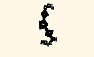 O=C(O)NC12CC(n3cnc(C4CC(OC(F)(F)F)C4)c3)(C1)C2